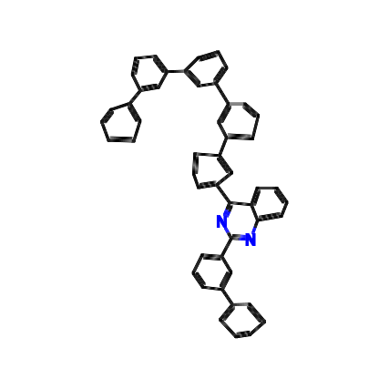 c1ccc(-c2cccc(-c3cccc(-c4cccc(-c5cccc(-c6nc(-c7cccc(-c8ccccc8)c7)nc7ccccc67)c5)c4)c3)c2)cc1